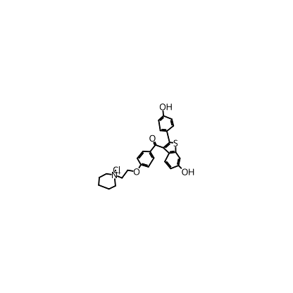 O=C(c1ccc(OCC[N+]2(Cl)CCCCC2)cc1)c1c(-c2ccc(O)cc2)sc2cc(O)ccc12